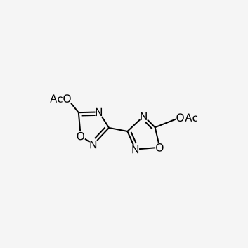 CC(=O)Oc1nc(-c2noc(OC(C)=O)n2)no1